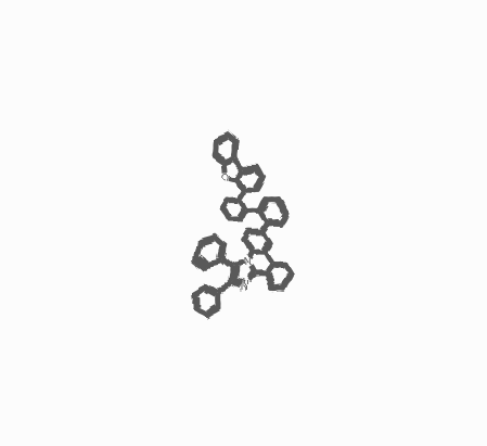 c1ccc(-c2nc3c4ccccc4c4cc(-c5ccccc5-c5ccccc5-c5cccc6c5oc5ccccc56)ccc4n3c2-c2ccccc2)cc1